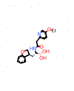 CCOc1ccc(CC(=O)N[C@@H](C[C@@H]2COc3ccccc32)B(O)O)nc1